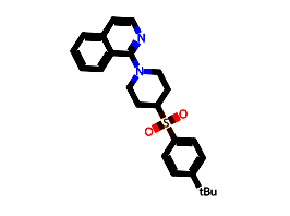 CC(C)(C)c1ccc(S(=O)(=O)C2CCN(c3nccc4ccccc34)CC2)cc1